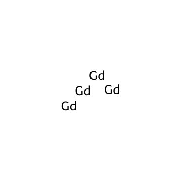 [Gd].[Gd].[Gd].[Gd]